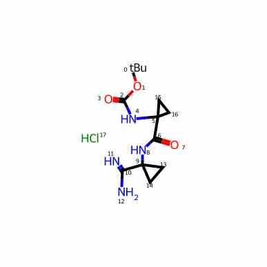 CC(C)(C)OC(=O)NC1(C(=O)NC2(C(=N)N)CC2)CC1.Cl